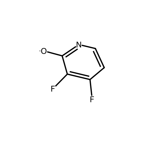 [O]c1nccc(F)c1F